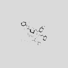 CC(C(Cc1ccc(C(=O)Nc2ccccc2)o1)c1ccc2c(c1)OCO2)N(CC=Cc1ccccc1)C(=O)C(O)=C(CC(=O)O)C(=O)OC1CCOC1